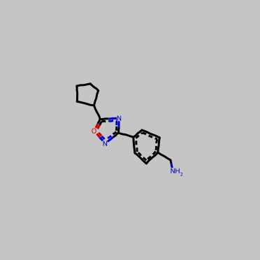 NCc1ccc(-c2noc(C3CCCC3)n2)cc1